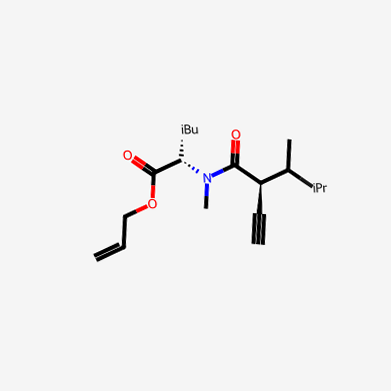 C#C[C@@H](C(=O)N(C)[C@H](C(=O)OCC=C)[C@@H](C)CC)C(C)C(C)C